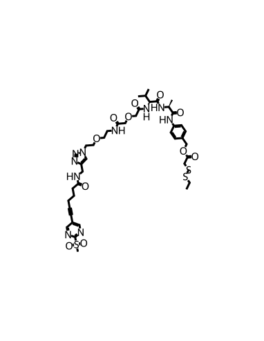 CCSSCC(=O)OCc1ccc(NC(=O)[C@H](C)NC(=O)[C@@H](NC(=O)COCC(=O)NCCOCCn2cc(CNC(=O)CCCC#Cc3cnc(S(C)(=O)=O)nc3)nn2)C(C)C)cc1